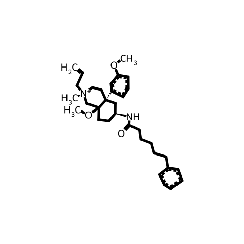 C=CC[N@@+]1(C)CC[C@@]2(c3cccc(OC)c3)C[C@@H](NC(=O)CCCCCc3ccccc3)CCC2(OC)C1